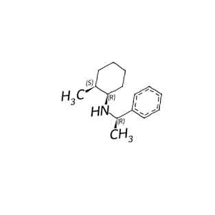 C[C@@H](N[C@@H]1CCCC[C@@H]1C)c1ccccc1